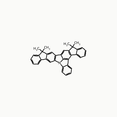 CC1(C)c2ccccc2-c2cc3c(cc21)c1cc2c(c4c5ccccc5n3c14)-c1ccccc1C2(C)C